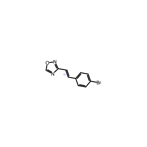 Brc1ccc(/C=C/c2ncon2)cc1